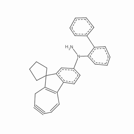 NN(c1ccc2c(c1)C1(CCCC1)C1=C2C=CC#CC1)c1ccccc1-c1ccccc1